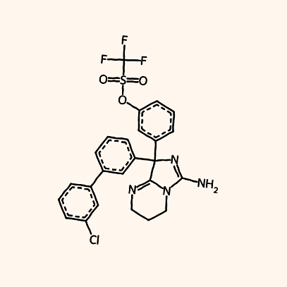 NC1=NC(c2cccc(OS(=O)(=O)C(F)(F)F)c2)(c2cccc(-c3cccc(Cl)c3)c2)C2=NCCCN12